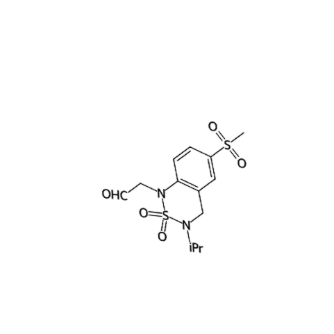 CC(C)N1Cc2cc(S(C)(=O)=O)ccc2N(CC=O)S1(=O)=O